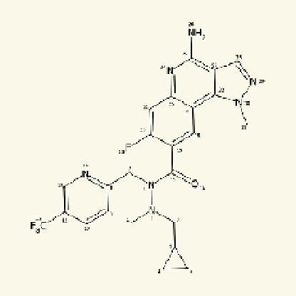 CN(CC1CC1)N(Cc1ccc(C(F)(F)F)cn1)C(=O)c1cc2c(cc1F)nc(N)c1cnn(C)c12